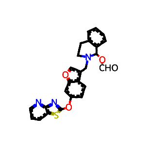 O=COC1c2ccccc2CCN1Cc1coc2cc(Oc3nc4ncccc4s3)ccc12